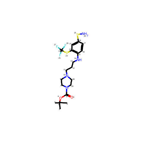 CC(C)(C)OC(=O)N1CCN(CCCNc2ccc(SN)cc2SC(F)(F)F)CC1